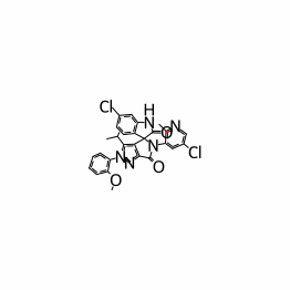 COc1ccccc1-n1nc2c(c1C(C)C)C1(C(=O)Nc3cc(Cl)ccc31)N(c1cc(Cl)cnc1C)C2=O